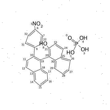 O=P(O)(O)O.O=[N+]([O-])c1ccc(-c2ccc3ccccc3c2-c2c(O)ccc3ccccc23)cc1